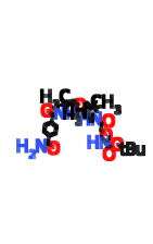 CC(C)(CNC(=O)CONC(=O)OC(C)(C)C)COCC(C)(C)CNC(=O)c1ccc(C(N)=O)cc1